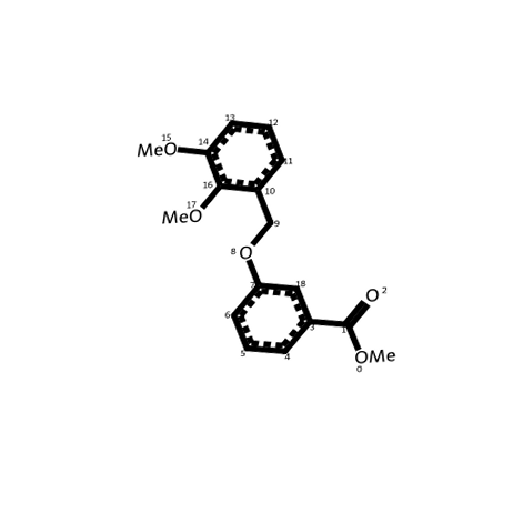 COC(=O)c1cccc(OCc2cccc(OC)c2OC)c1